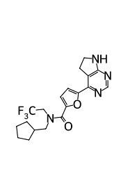 O=C(c1ccc(-c2ncnc3c2CCN3)o1)N(CC1CCCC1)CC(F)(F)F